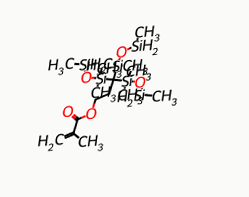 C=C(C)C(=O)OCCC([Si](C)(C)O[SiH2]C)([Si](C)(C)O[SiH2]C)[Si](C)(C)O[SiH2]C